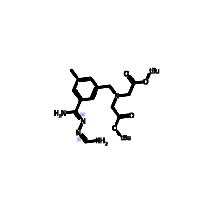 Cc1cc(CN(CC(=O)OC(C)(C)C)CC(=O)OC(C)(C)C)cc(/C(N)=N/N=C\N)c1